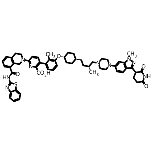 Cc1c(O[C@H]2CC[C@H](CC[C@@H](C)CN3CCN(c4ccc5c(C6CCC(=O)NC6=O)nn(C)c5c4)CC3)CC2)cccc1-c1ccc(N2CCc3cccc(C(=O)Nc4nc5ccccc5s4)c3C2)nc1C(=O)O